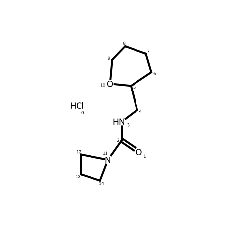 Cl.O=C(NCC1CCCCO1)N1CCC1